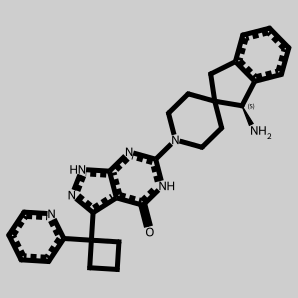 N[C@@H]1c2ccccc2CC12CCN(c1nc3[nH]nc(C4(c5ccccn5)CCC4)c3c(=O)[nH]1)CC2